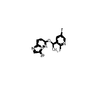 CC(Oc1ccc2ncc(Br)n2n1)c1cc(F)cnc1F